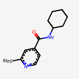 CSc1cc(C(=O)NC2CCCCC2)ccn1